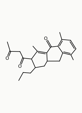 CCCC1CC2Cc3c(C)ccc(C)c3C(=O)C2=C(C)C1C(=O)CC(C)=O